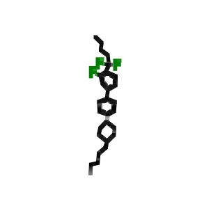 CCCCC[C@H]1CC[C@H](c2ccc(-c3ccc(C(F)(F)CCCC)c(F)c3)cc2)CC1